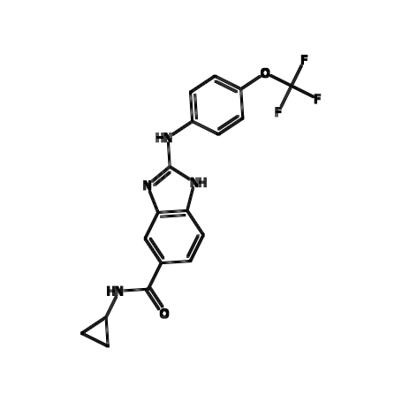 O=C(NC1CC1)c1ccc2[nH]c(Nc3ccc(OC(F)(F)F)cc3)nc2c1